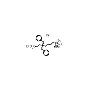 CCCC[P+](CCCC)(CCCC)CCCCC(CCC(=O)OCC)(Sc1ccccc1)Sc1ccccc1.[Br-]